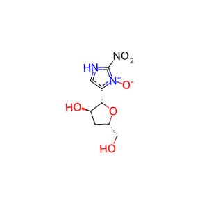 O=[N+]([O-])c1[nH]cc([C@@H]2O[C@H](CO)C[C@H]2O)[n+]1[O-]